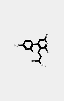 CC(O)CCc1c(-c2ccc(P)cc2F)cc(Cl)nc1Cl